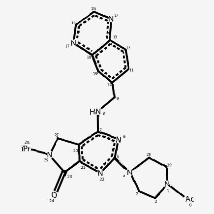 CC(=O)N1CCN(c2nc(NCc3ccc4nccnc4c3)c3c(n2)C(=O)N(C(C)C)C3)CC1